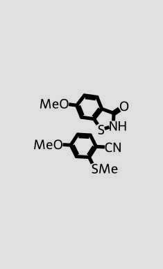 COc1ccc(C#N)c(SC)c1.COc1ccc2c(=O)[nH]sc2c1